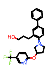 OCCCc1cc(-c2ccccc2)ccc1N1CCC(Oc2ccc(C(F)(F)F)cn2)C1